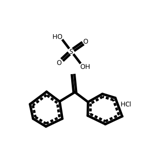 C=C(c1ccccc1)c1ccccc1.Cl.O=S(=O)(O)O